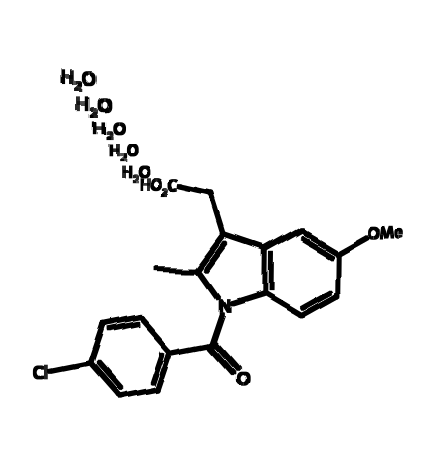 COc1ccc2c(c1)c(CC(=O)O)c(C)n2C(=O)c1ccc(Cl)cc1.O.O.O.O.O